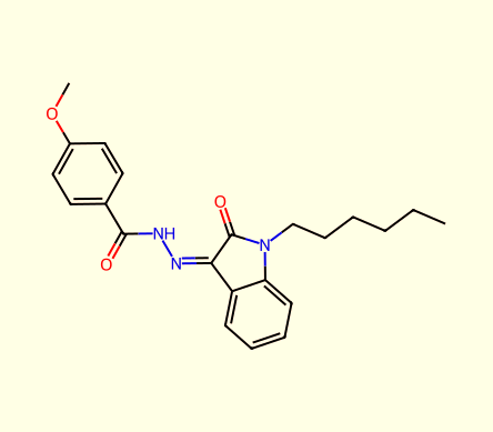 CCCCCCN1C(=O)/C(=N\NC(=O)c2ccc(OC)cc2)c2ccccc21